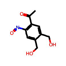 CC(=O)c1cc(CO)c(CO)cc1N=O